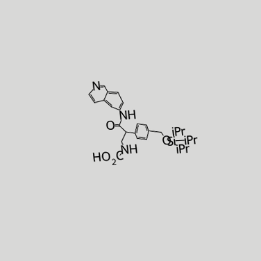 CC(C)[Si](OCc1ccc(C(CNC(=O)O)C(=O)Nc2ccc3cnccc3c2)cc1)(C(C)C)C(C)C